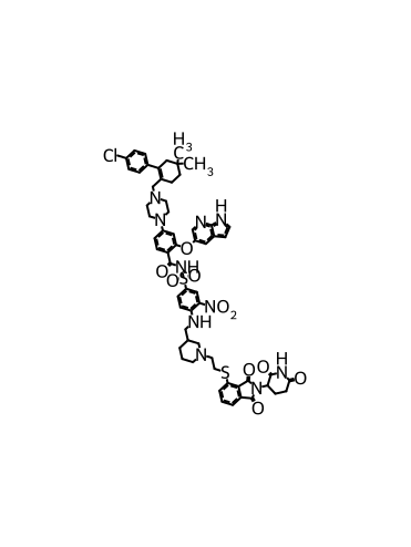 CC1(C)CCC(CN2CCN(c3ccc(C(=O)NS(=O)(=O)c4ccc(NCC5CCCN(CCSc6cccc7c6C(=O)N(C6CCC(=O)NC6=O)C7=O)C5)c([N+](=O)[O-])c4)c(Oc4cnc5[nH]ccc5c4)c3)CC2)=C(c2ccc(Cl)cc2)C1